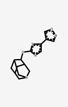 c1nocc1-c1cnc(OC2C3CC4CC2CN(C4)C3)s1